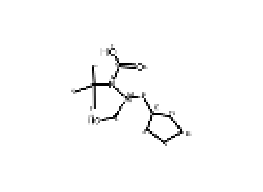 CC(C)(C)N(C(=O)O)[C@H](CO)CC1CCCC1